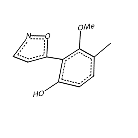 COc1c(C)ccc(O)c1-c1ccno1